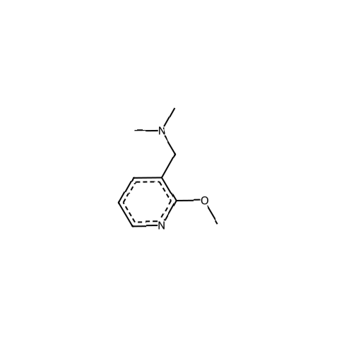 COc1ncccc1CN(C)C